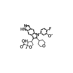 COc1cc(-n2c(C3CCOCC3)c([C@H]3CO[C@](C)(C(=O)O)C3)c3cc4[nH]ncc4cc32)ccc1F